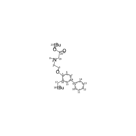 CN(CCOc1ccc(-c2ccccc2)cc1CC(C)(C)C)CC(=O)OC(C)(C)C